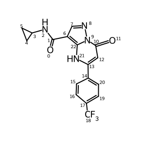 O=C(NC1CC1)c1cnn2c(=O)cc(-c3ccc(C(F)(F)F)cc3)[nH]c12